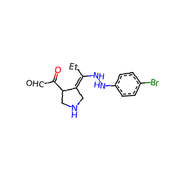 CCC(NNc1ccc(Br)cc1)=C1CNCC1C(=O)C=O